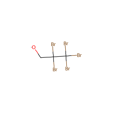 [O]CC(Br)(Br)C(Br)(Br)Br